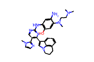 CN(C)CCN(C)c1cc(O)c(Nc2ncc(-c3nccn3C)c(-c3cn4c5c(cccc35)CCC4)n2)cc1N